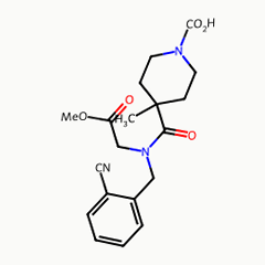 COC(=O)CN(Cc1ccccc1C#N)C(=O)C1(C)CCN(C(=O)O)CC1